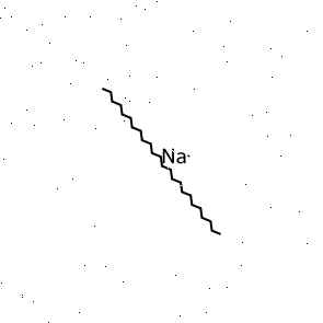 CCCCCCCCCCCCCCCCCCCCCCCC.[Na]